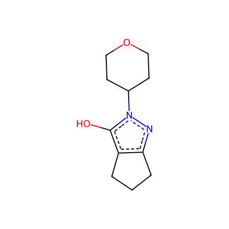 Oc1c2c(nn1C1CCOCC1)CCC2